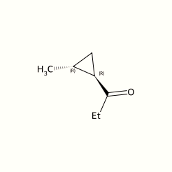 CCC(=O)[C@@H]1C[C@H]1C